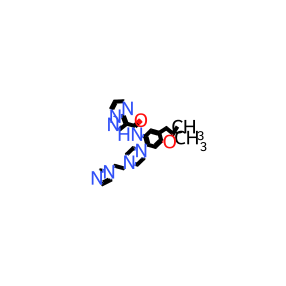 CC1(C)Cc2cc(NC(=O)c3cnn4cccnc34)c(N3CCN(CCn4ccnc4)CC3)cc2O1